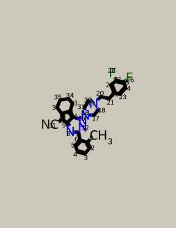 Cc1ccccc1-c1nc2c(C#N)c3c(c-2n(N2CCN(CCc4ccc(F)c(F)c4)CC2)n1)CCCC3